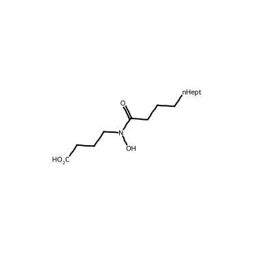 CCCCCCCCCCC(=O)N(O)CCCC(=O)O